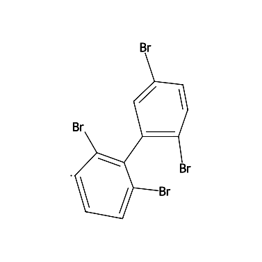 Brc1ccc(Br)c(-c2c(Br)[c]ccc2Br)c1